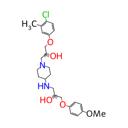 COc1ccc(OC[C@H](O)CNC2CCN(C[C@@H](O)COc3ccc(Cl)c(C)c3)CC2)cc1